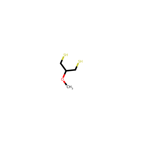 COC(CS)CS